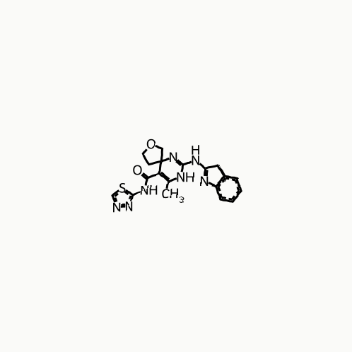 CC1=C(C(=O)Nc2nncs2)C2(CCOC2)N=C(NC2=Nc3ccccc3C2)N1